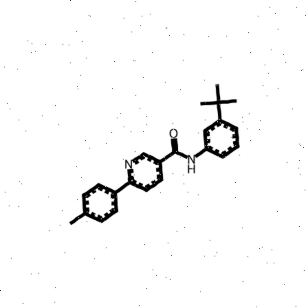 Cc1ccc(-c2ccc(C(=O)Nc3cccc(C(C)(C)C)c3)cn2)cc1